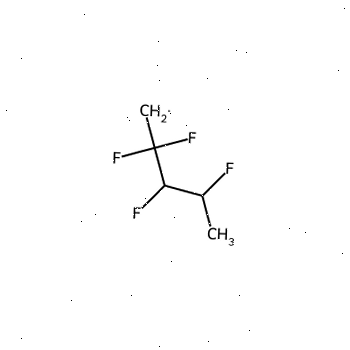 [CH2]C(F)(F)C(F)C(C)F